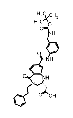 CC(C)(C)OC(=O)NCc1cccc(NC(=O)c2ccc3c(c2)N[C@H](CC(=O)O)CN(CCc2ccccc2)C3=O)c1